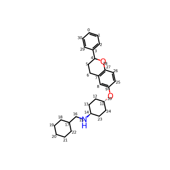 c1ccc(C2CCc3cc(O[C@H]4CC[C@H](NCC5CCCCC5)CC4)ccc3O2)cc1